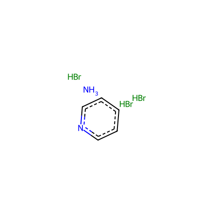 Br.Br.Br.N.c1ccncc1